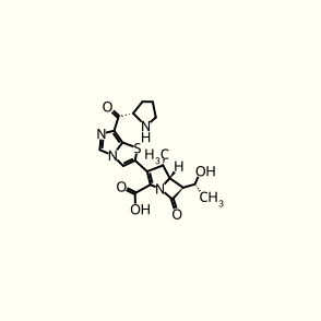 C[C@@H](O)[C@H]1C(=O)N2C(C(=O)O)=C(c3cn4cnc(C(=O)[C@@H]5CCCN5)c4s3)[C@H](C)[C@H]12